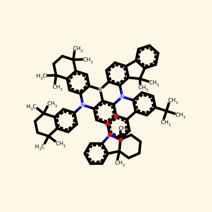 CC(C)(C)c1ccc(N2c3cc(N4c5ccccc5C5(C)CCCCC45C)cc4c3B(c3cc5c(cc3N4c3ccc4c(c3)C(C)(C)CCC4(C)C)C(C)(C)CCC5(C)C)c3ccc4c(c32)C(C)(C)c2ccccc2-4)c(-c2ccccc2)c1